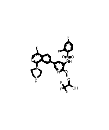 COc1ncc(-c2ccc3c(F)cnc(N4CCNCC4)c3c2)cc1NS(=O)(=O)c1ccc(F)cc1F.O=C(O)C(F)(F)F